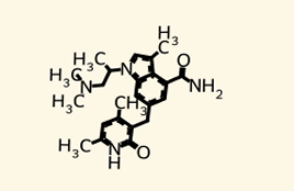 Cc1cc(C)c(Cc2cc(C(N)=O)c3c(C)cn(C(C)CN(C)C)c3c2)c(=O)[nH]1